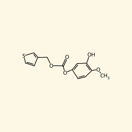 COc1ccc(OC(=O)OCc2ccsc2)cc1O